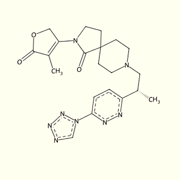 CC1=C(N2CCC3(CCN(C[C@H](C)c4ccc(-n5cnnn5)nn4)CC3)C2=O)COC1=O